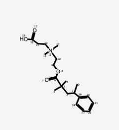 CC(CC(C)(C)C(=O)OCC[N+](C)(C)CCC(=O)O)c1ccccc1